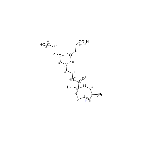 CC(C)C1/C=C/CCC(C)(C(=O)NCCN(COCCC(=O)O)COCCC(=O)O)CC1